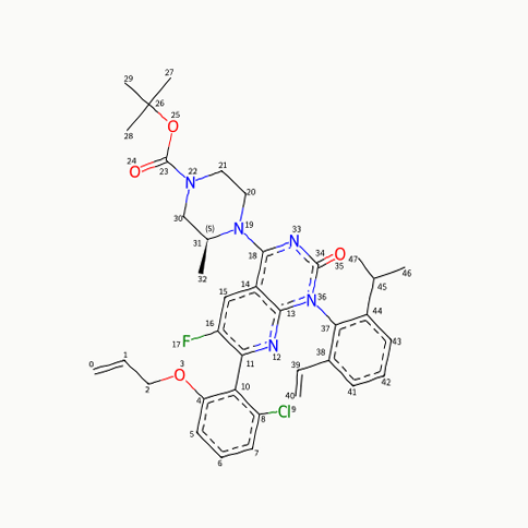 C=CCOc1cccc(Cl)c1-c1nc2c(cc1F)c(N1CCN(C(=O)OC(C)(C)C)C[C@@H]1C)nc(=O)n2-c1c(C=C)cccc1C(C)C